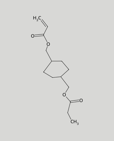 C=CC(=O)OCC1CCC(COC(=O)CC)CC1